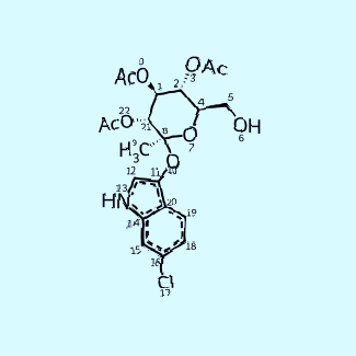 CC(=O)O[C@H]1[C@H](OC(C)=O)[C@@H](CO)O[C@@](C)(Oc2c[nH]c3cc(Cl)ccc23)[C@@H]1OC(C)=O